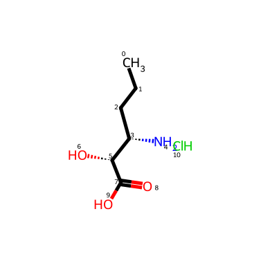 CCC[C@H](N)[C@@H](O)C(=O)O.Cl